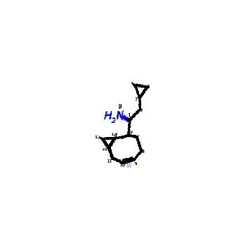 NC(CC1CC1)C1CC/C=C\CC2CC21